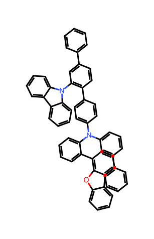 c1ccc(-c2cccc(N(c3ccc(-c4ccc(-c5ccccc5)cc4-n4c5ccccc5c5ccccc54)cc3)c3ccccc3-c3cccc4c3oc3ccccc34)c2)cc1